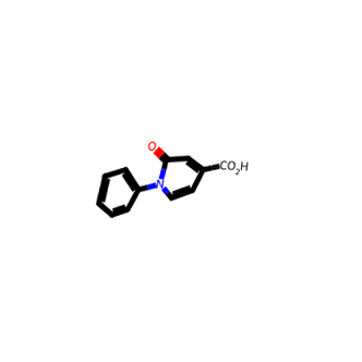 O=C(O)c1ccn(-c2ccccc2)c(=O)c1